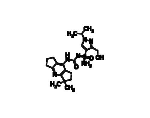 CC(C)n1cc(S(N)(=O)=NC(=O)Nc2c3c(nc4c2CCC4(C)C)CCC3)c(CO)n1